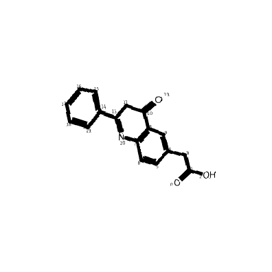 O=C(O)Cc1ccc2c(c1)C(=O)CC(c1ccccc1)=N2